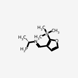 C[C@@H](P)/N=C/c1ccoc1[Si](C)(C)C